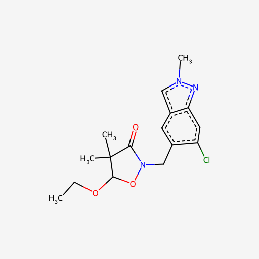 CCOC1ON(Cc2cc3cn(C)nc3cc2Cl)C(=O)C1(C)C